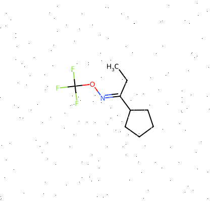 CCC(=NOC(F)(F)F)C1CCCC1